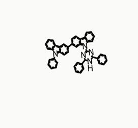 c1ccc(C2=NC(n3c4ccccc4c4ccc(-c5ccc6c(c5)c5ccccc5n6-c5ccccc5)cc43)=NC(c3ccccc3)N2)cc1